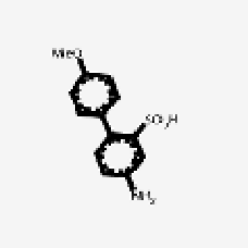 COc1ccc(-c2ccc(N)cc2S(=O)(=O)O)cc1